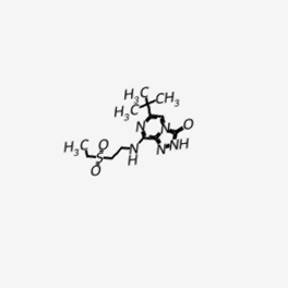 CCS(=O)(=O)CCNc1nc(C(C)(C)C)cn2c(=O)[nH]nc12